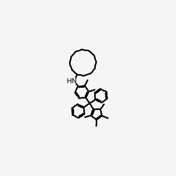 CC1=C(C)C(C)C(C(c2ccccc2)(c2ccccc2)c2ccc(NC3CCCCCCCCCCC3)c(C)c2C)=C1C